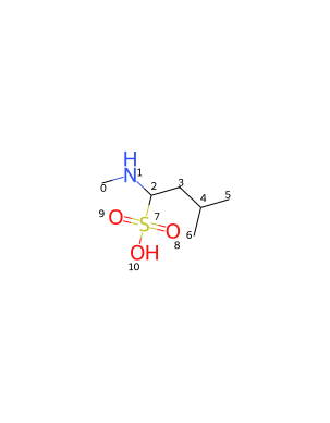 CNC(CC(C)C)S(=O)(=O)O